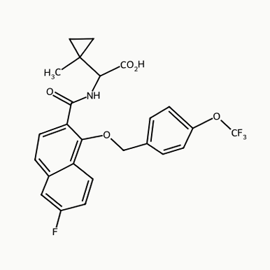 CC1(C(NC(=O)c2ccc3cc(F)ccc3c2OCc2ccc(OC(F)(F)F)cc2)C(=O)O)CC1